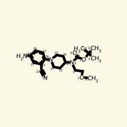 COCCN(C(=O)OC(C)(C)C)C1CCN(c2ccc(N)cc2C#N)CC1